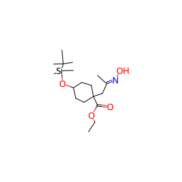 CCOC(=O)C1(C/C(C)=N/O)CCC(O[Si](C)(C)C(C)(C)C)CC1